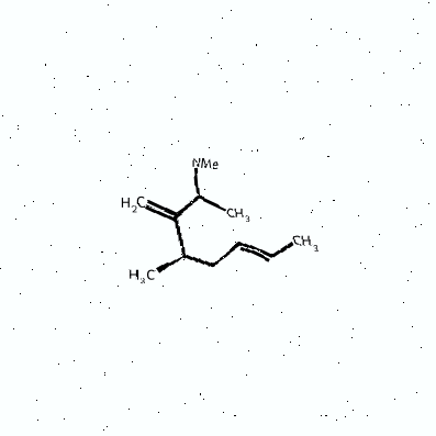 C=C(C(C)NC)[C@H](C)C/C=C/C